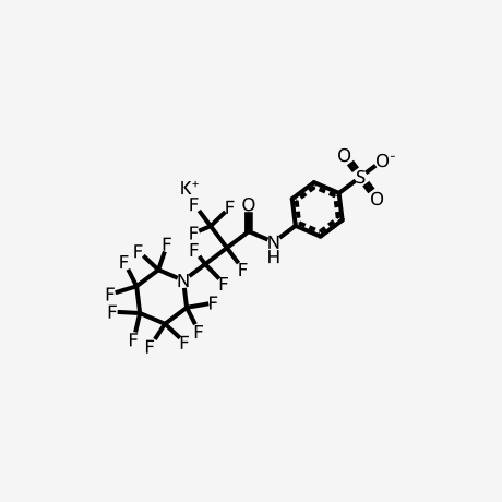 O=C(Nc1ccc(S(=O)(=O)[O-])cc1)C(F)(C(F)(F)F)C(F)(F)N1C(F)(F)C(F)(F)C(F)(F)C(F)(F)C1(F)F.[K+]